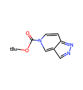 CC(C)(C)OC(=O)n1ccc2nncc-2c1